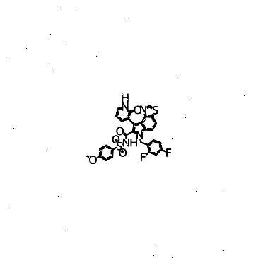 COc1ccc(S(=O)(=O)NC(=O)c2c(-c3ccc[nH]c3=O)c3c4ncsc4ccc3n2Cc2ccc(F)cc2F)cc1